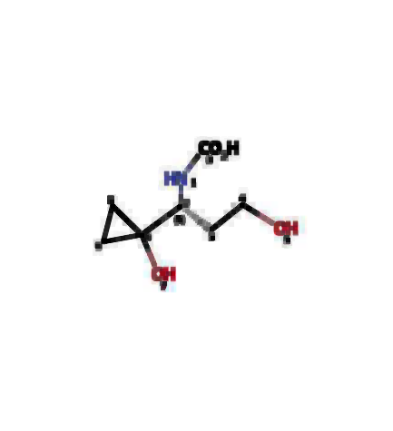 O=C(O)N[C@H](CCO)C1(O)CC1